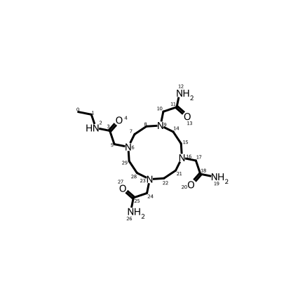 CCNC(=O)CN1CCN(CC(N)=O)CCN(CC(N)=O)CCN(CC(N)=O)CC1